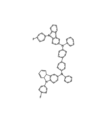 Fc1ccc(N2c3ccc(N(c4ccccc4)c4ccc(-c5ccc(N(c6ccccc6)c6ccc7c(c6)c6ccccc6n7-c6ccc(F)cc6)cc5)cc4)cc3C3C=CC=CC32)cc1